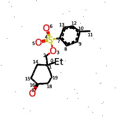 CCC1(COS(=O)(=O)c2ccc(C)cc2)CCC(=O)CC1